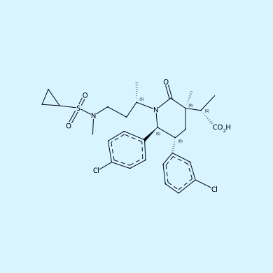 C[C@H](C(=O)O)[C@@]1(C)C[C@H](c2cccc(Cl)c2)[C@@H](c2ccc(Cl)cc2)N([C@@H](C)CCN(C)S(=O)(=O)C2CC2)C1=O